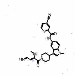 CN/C(=C\C=N)C(=O)N1CCC(c2cn(C)c3ccc(NC(=O)c4cc(C#N)ccn4)cc23)CC1